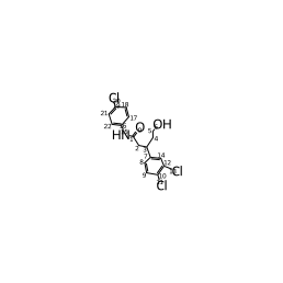 O=C(CC(CCO)c1ccc(Cl)c(Cl)c1)Nc1ccc(Cl)cc1